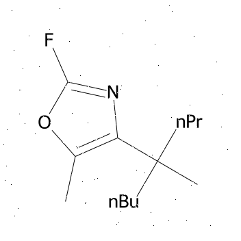 CCCCC(C)(CCC)c1nc(F)oc1C